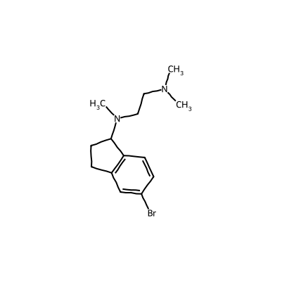 CN(C)CCN(C)C1CCc2cc(Br)ccc21